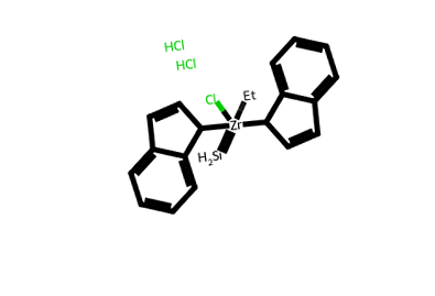 C[CH2][Zr](=[SiH2])([Cl])([CH]1C=Cc2ccccc21)[CH]1C=Cc2ccccc21.Cl.Cl